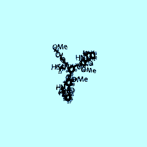 COCCOCCOCCN(CC(C)(C)S)c1cc(COc2cc3c(cc2OC)C(=O)N2c4ccccc4C[C@H]2CN3)cc(COc2cc3c(cc2OC)C(=O)N2c4ccccc4C[C@H]2CN3)c1